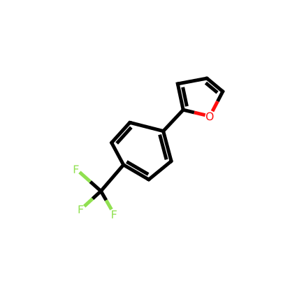 FC(F)(F)c1ccc(-c2ccco2)cc1